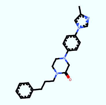 Cc1cn(-c2ccc(N3CCN(CCCc4ccccc4)C(=O)C3)cc2)cn1